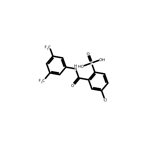 O=C(Nc1cc(C(F)(F)F)cc(C(F)(F)F)c1)c1cc(Cl)ccc1P(=O)(O)O